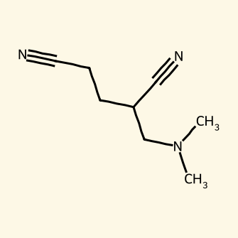 CN(C)CC(C#N)CCC#N